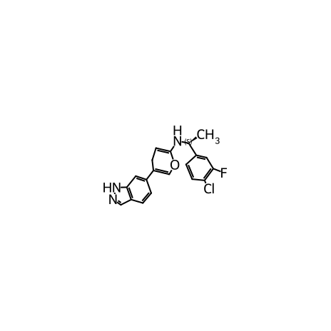 C[C@H](NC1=CCC(c2ccc3cn[nH]c3c2)=CO1)c1ccc(Cl)c(F)c1